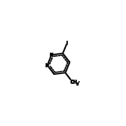 [CH2]c1cnnc(I)c1